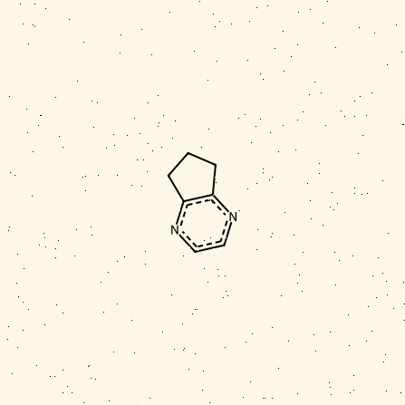 c1cnc2c(n1)CCC2